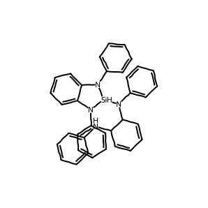 C1=CC(Nc2ccccc2)C(N(c2ccccc2)[SiH]2N(c3ccccc3)c3ccccc3N2c2ccccc2)C=C1